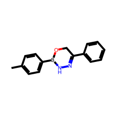 Cc1ccc(B2NN=C(c3ccccc3)CO2)cc1